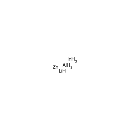 [AlH3].[InH3].[LiH].[Zn]